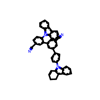 N#Cc1cc(-c2ccc(-n3c4c(c5ccccc53)CCC=C4)cc2)cc(-c2cc(C#N)ccc2-n2c3ccccc3c3ccccc32)c1